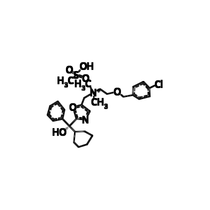 CS(=O)(=O)O.C[N+](C)(CCOCc1ccc(Cl)cc1)Cc1cnc([C@](O)(c2ccccc2)C2CCCCC2)o1